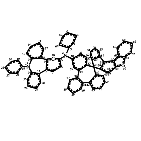 c1ccc(N(c2ccc3c(c2)-c2ccccc2N(c2ccccc2)c2ccccc2-3)c2ccc3c(c2)-c2ccccc2-c2ccccc2C32c3ccccc3-c3c2ccc2sc4ccccc4c32)cc1